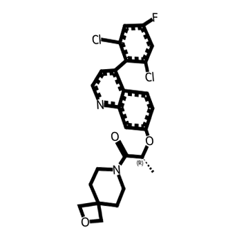 C[C@@H](Oc1ccc2c(-c3c(Cl)cc(F)cc3Cl)ccnc2c1)C(=O)N1CCC2(CC1)COC2